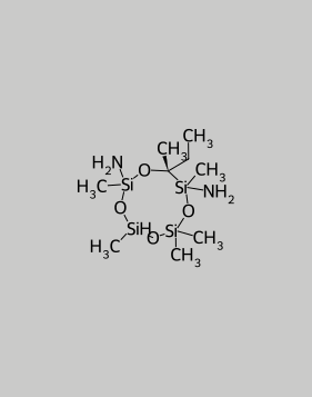 CC[C@@]1(C)O[Si](C)(N)O[SiH](C)O[Si](C)(C)O[Si]1(C)N